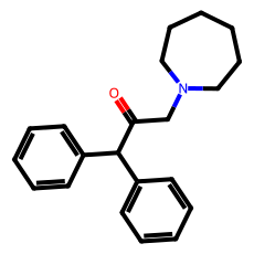 O=C(CN1CCCCCC1)C(c1ccccc1)c1ccccc1